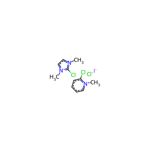 C[n+]1ccccc1Cl.Cn1cc[n+](C)c1Cl.[Cl-].[I-]